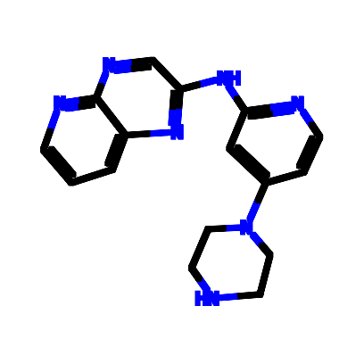 c1cnc2ncc(Nc3cc(N4CCNCC4)ccn3)nc2c1